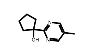 Cc1cnc(C2(O)CCCC2)nc1